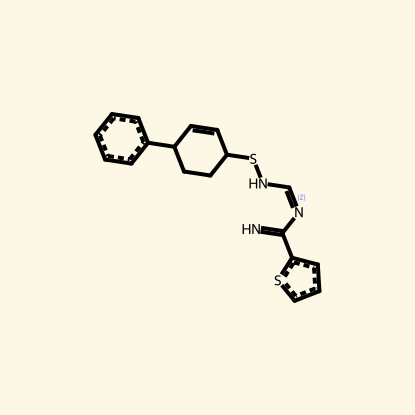 N=C(/N=C\NSC1C=CC(c2ccccc2)CC1)c1cccs1